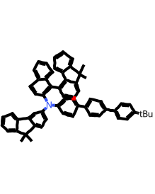 CC(C)(C)c1ccc(-c2ccc(-c3ccc(N(c4ccc5c(c4)-c4ccccc4C5(C)C)c4ccc5ccccc5c4-c4cccc5c4-c4ccccc4C5(C)C)cc3)cc2)cc1